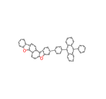 c1ccc(-c2c3ccccc3c(-c3ccc(-c4ccc5c(c4)oc4ccc6c(ccc7c8ccccc8oc76)c45)cc3)c3ccccc23)cc1